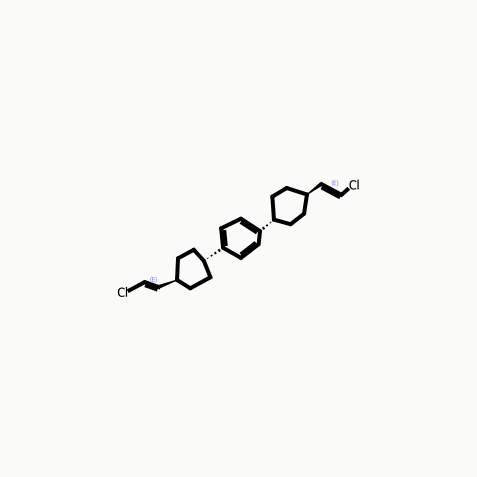 Cl/C=C/[C@H]1CC[C@H](c2ccc([C@H]3CC[C@H](/C=C/Cl)CC3)cc2)CC1